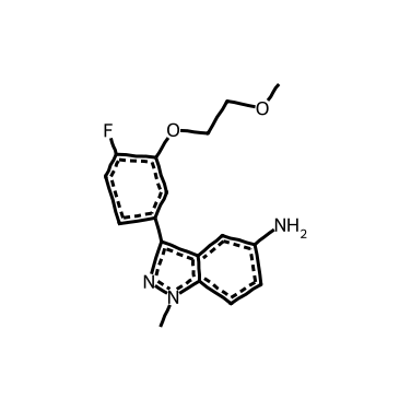 COCCOc1cc(-c2nn(C)c3ccc(N)cc23)ccc1F